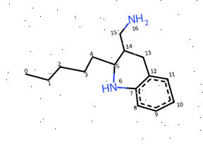 CCCCCC1Nc2ccccc2CC1CN